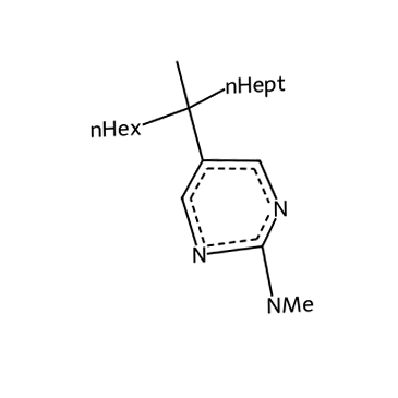 CCCCCCCC(C)(CCCCCC)c1cnc(NC)nc1